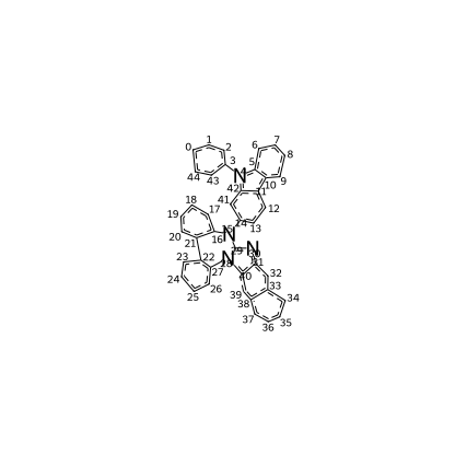 c1ccc(-n2c3ccccc3c3ccc(N4c5ccccc5-c5ccccc5-n5c4nc4cc6ccccc6cc45)cc32)cc1